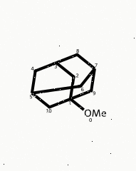 COC12C[C]3CC(CC(C3)C1)C2